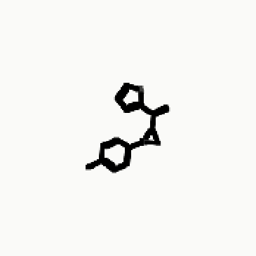 C=C(c1cccs1)C1CN1c1ccc(C)cc1